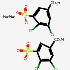 O=C(O)c1cc(Cl)c(Cl)c(S(=O)(=O)[O-])c1.O=C(O)c1cc(Cl)c(Cl)c(S(=O)(=O)[O-])c1.[Na+].[Na+]